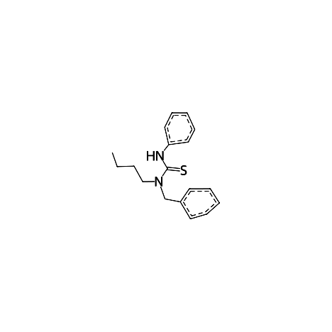 CCCCN(Cc1ccccc1)C(=S)Nc1ccccc1